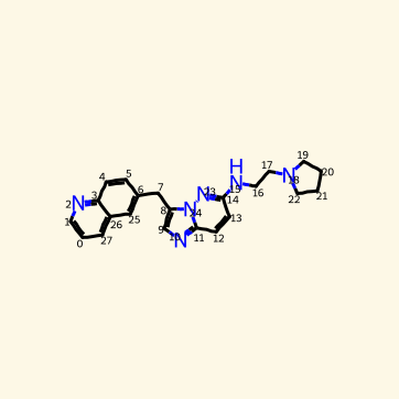 c1cnc2ccc(Cc3cnc4ccc(NCCN5CCCC5)nn34)cc2c1